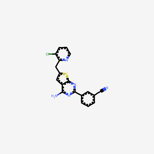 N#Cc1cccc(-c2nc(N)c3cc(Cc4ncccc4Cl)sc3n2)c1